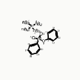 CCCC[P+](CCCC)(CCCC)CCCC.O=P([O-])(Oc1ccccc1)c1ccccc1